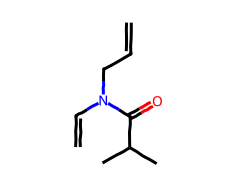 C=CCN(C=C)C(=O)C(C)C